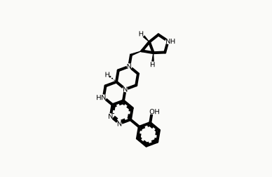 Oc1ccccc1-c1cc2c(nn1)NC[C@H]1CN(C[C@H]3[C@@H]4CNC[C@@H]43)CCN21